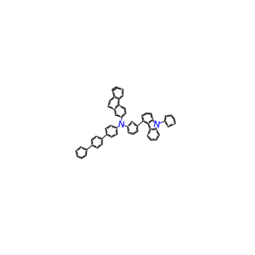 c1ccc2c(c#1)ccc1cc(N(c3ccc(-c4ccc(-c5ccccc5)cc4)cc3)c3cccc(-c4cccc5c4c4ccccc4n5-c4ccccc4)c3)ccc12